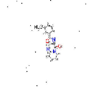 Cc1cccc(-c2nc3c(=O)n4c(nc3o2)CCCC4)c1